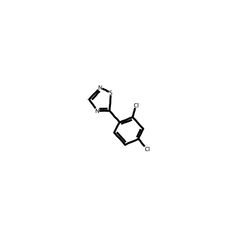 Clc1ccc(-c2n[c]ns2)c(Cl)c1